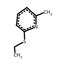 CCSc1[c]ccc(C)n1